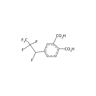 O=C(O)c1ccc(C(F)C(F)(F)C(F)(F)F)cc1C(=O)O